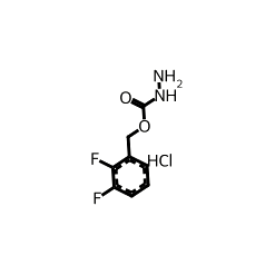 Cl.NNC(=O)OCc1cccc(F)c1F